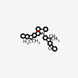 CC1(C)c2cc3ccccc3cc2-c2cc3ccc(N(c4ccc5c(c4)C(C)(C)c4cc6c(cc4-5)oc4ccccc46)c4ccccc4-c4ccccc4)cc3cc21